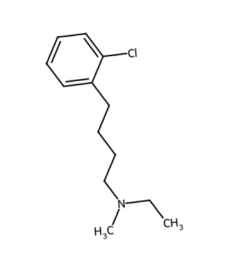 CCN(C)CCCCc1ccccc1Cl